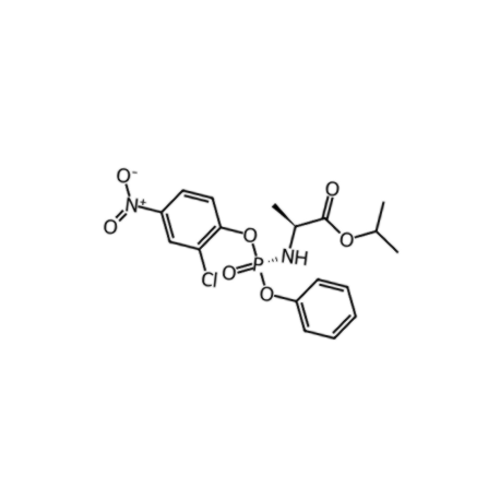 CC(C)OC(=O)[C@H](C)N[P@@](=O)(Oc1ccccc1)Oc1ccc([N+](=O)[O-])cc1Cl